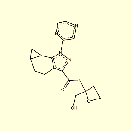 O=C(NC1(CO)CCO1)c1nn(-c2cnccn2)c2c1CCC1CC21